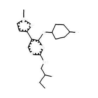 CCC(F)CNc1ncc(-c2ccn(C)n2)c(NC2CCC(O)CC2)n1